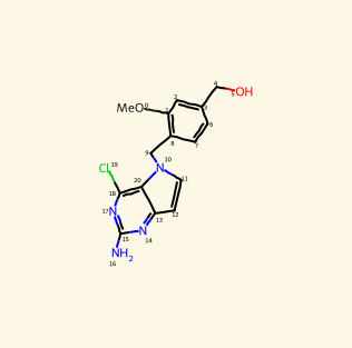 COc1cc(CO)ccc1Cn1ccc2nc(N)nc(Cl)c21